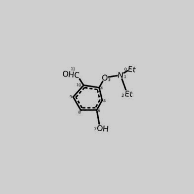 CCN(CC)Oc1cc(O)ccc1C=O